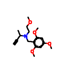 C#CC(C)N(CCOC)Cc1c(OC)cc(OC)cc1OC